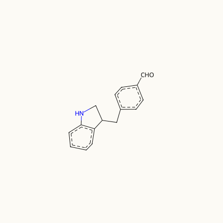 O=Cc1ccc(CC2CNc3ccccc32)cc1